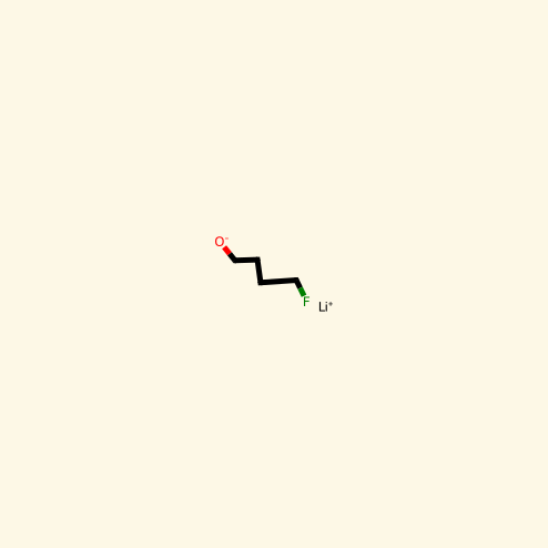 [Li+].[O-]CCCCF